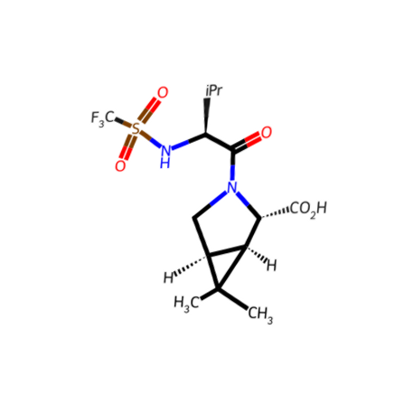 CC(C)[C@H](NS(=O)(=O)C(F)(F)F)C(=O)N1C[C@H]2[C@@H]([C@H]1C(=O)O)C2(C)C